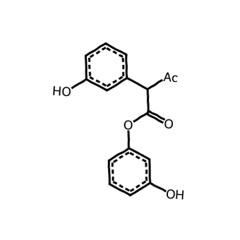 CC(=O)C(C(=O)Oc1cccc(O)c1)c1cccc(O)c1